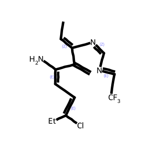 C=C(C(=C/C)/N=C\N=C\C(F)(F)F)/C(N)=C\C=C(\Cl)CC